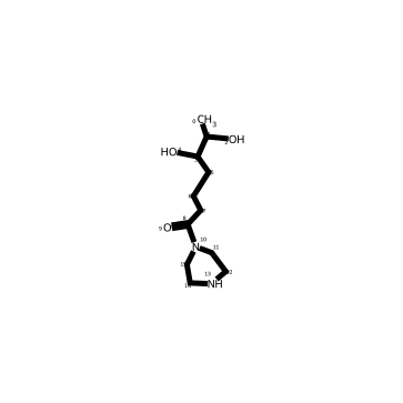 CC(O)C(O)CCCC(=O)N1CCNCC1